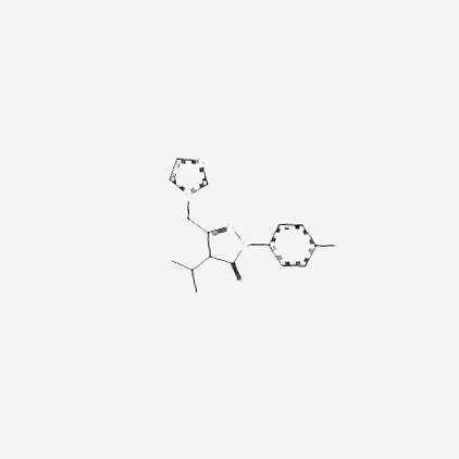 CC(C)C1C(=O)N(c2ccc(Cl)cc2)N=C1Cn1ccnc1